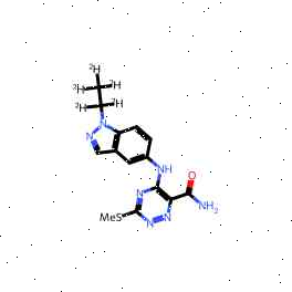 [2H]C([2H])([2H])C([2H])([2H])n1ncc2cc(Nc3nc(SC)nnc3C(N)=O)ccc21